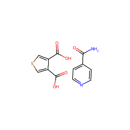 NC(=O)c1ccncc1.O=C(O)c1cscc1C(=O)O